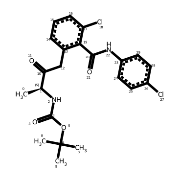 C[C@H](NC(=O)OC(C)(C)C)C(=O)Cc1cccc(Cl)c1C(=O)Nc1ccc(Cl)cc1